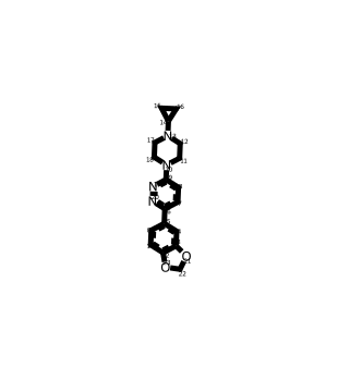 c1cc2c(cc1-c1ccc(N3CCN(C4CC4)CC3)nn1)OCO2